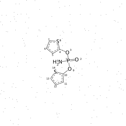 NP(=O)(Oc1cccs1)Oc1cccs1